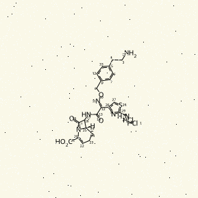 Cl.Cl.NCCc1ccc(CON=C(C(=O)NC2C(=O)N3C(C(=O)O)=CCS[C@@H]23)c2csc(N)n2)cc1